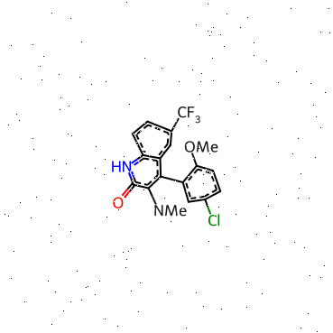 CNc1c(-c2cc(Cl)ccc2OC)c2cc(C(F)(F)F)ccc2[nH]c1=O